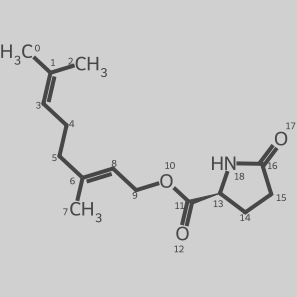 CC(C)=CCC/C(C)=C/COC(=O)[C@@H]1CCC(=O)N1